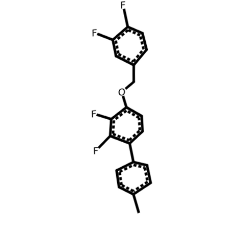 Cc1ccc(-c2ccc(OCc3ccc(F)c(F)c3)c(F)c2F)cc1